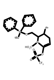 CC(C)C1CC=C(OS(=O)(=O)C(F)(F)F)N(C(=O)O)C1CO[Si](c1ccccc1)(c1ccccc1)C(C)(C)C